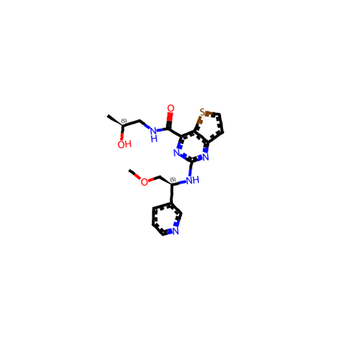 COC[C@@H](Nc1nc(C(=O)NC[C@H](C)O)c2sccc2n1)c1cccnc1